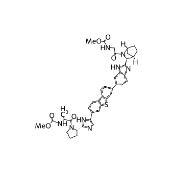 COC(=O)NCC(=O)N1[C@@H]2CC[C@@H](C2)[C@H]1c1nc2ccc(-c3ccc4c(c3)sc3cc(-c5cnc([C@@H]6CCCN6C(=O)[C@H](C)NC(=O)OC)[nH]5)ccc34)cc2[nH]1